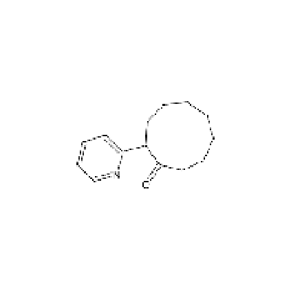 O=C1CCCCCCCC1c1ccccn1